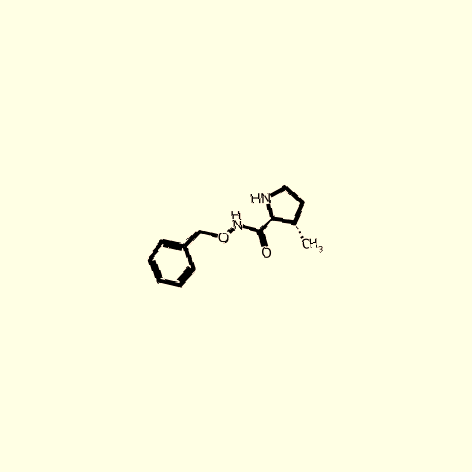 C[C@H]1CCN[C@@H]1C(=O)NOCc1ccccc1